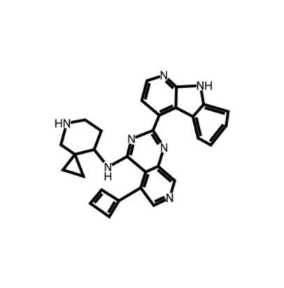 C1=CC(c2cncc3nc(-c4ccnc5[nH]c6ccccc6c45)nc(NC4CCNCC45CC5)c23)=C1